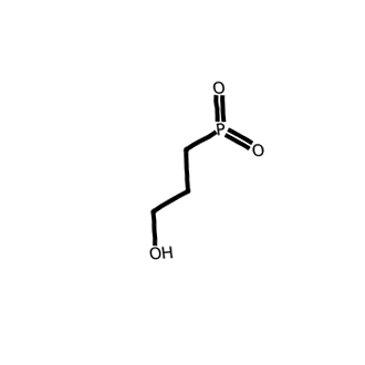 O=P(=O)CCCO